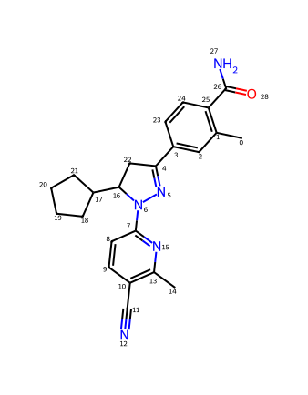 Cc1cc(C2=NN(c3ccc(C#N)c(C)n3)C(C3CCCC3)C2)ccc1C(N)=O